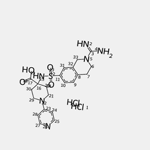 Cl.Cl.N=C(N)N1CCc2ccc(S(=O)(=O)NC3(C(=O)O)CCN(c4ccncc4)CC3)cc2C1